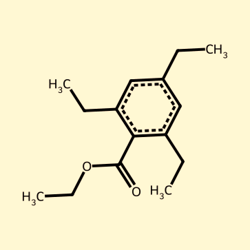 CCOC(=O)c1c(CC)cc(CC)cc1CC